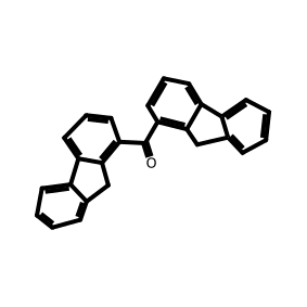 O=C(c1cccc2c1Cc1ccccc1-2)c1cccc2c1Cc1ccccc1-2